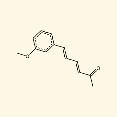 COc1cccc(/C=C/C=C/C(C)=O)c1